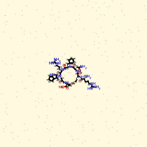 CC1(C)SSCC[C@H](NC(=O)[C@H](N)CCCNC(=N)N)C(=O)N[C@@H](CC(N)=O)C(=O)N[C@H](Cc2ccccc2)C(=O)N[C@@H](CCCNC(=N)N)C(=O)N[C@@H](Cc2c[nH]c3ccccc23)C(=O)N[C@@H]1C(=O)O